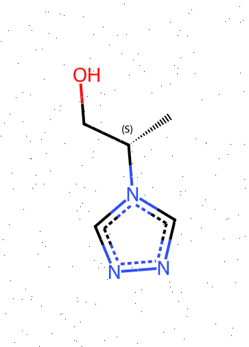 C[C@@H](CO)n1cnnc1